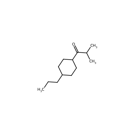 CCCC1CCC(C(=O)C(C)C)CC1